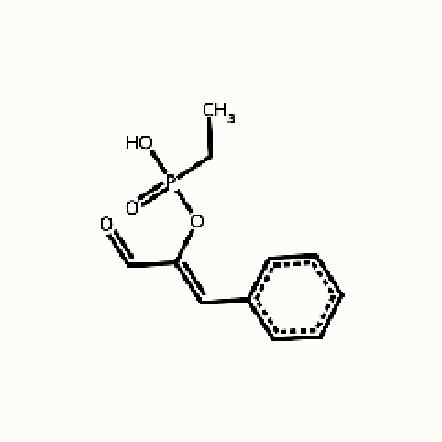 CCP(=O)(O)OC(C=O)=Cc1ccccc1